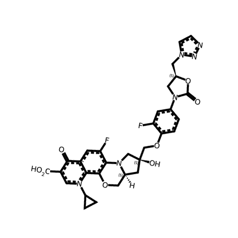 O=C(O)c1cn(C2CC2)c2c3c(c(F)cc2c1=O)N1C[C@](O)(COc2ccc(N4C[C@@H](Cn5ccnn5)OC4=O)cc2F)C[C@H]1CO3